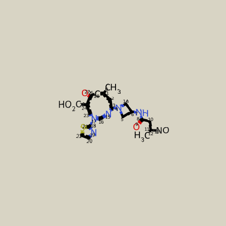 Cc1cc(N2CC(NC(=O)CC(C)N=O)C2)ncn(-c2nccs2)cc(C(=O)O)c(=O)c1